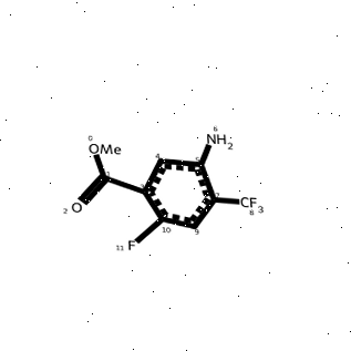 COC(=O)c1cc(N)c(C(F)(F)F)cc1F